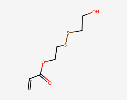 C=CC(=O)OCCSSCCO